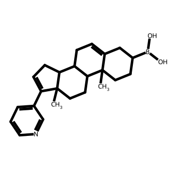 CC12CCC(B(O)O)CC1=CCC1C2CCC2(C)C(c3cccnc3)=CCC12